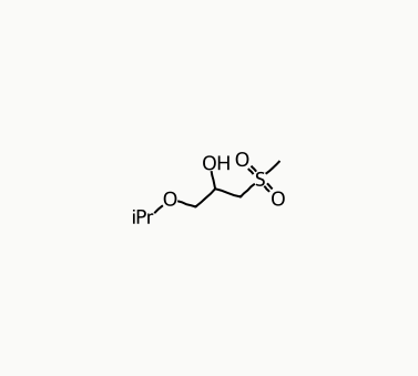 CC(C)OCC(O)CS(C)(=O)=O